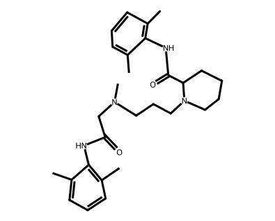 Cc1cccc(C)c1NC(=O)CN(C)CCCN1CCCCC1C(=O)Nc1c(C)cccc1C